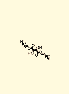 [N-]=[N+]=NCOC(=O)C(O)C(O)C(=O)OCN=[N+]=[N-]